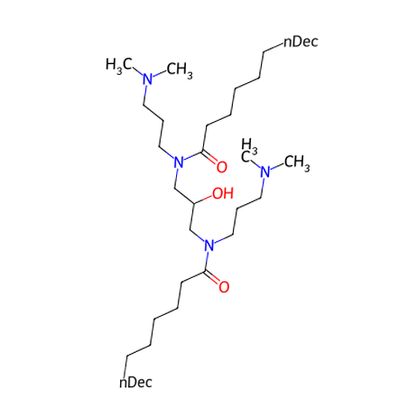 CCCCCCCCCCCCCCCC(=O)N(CCCN(C)C)CC(O)CN(CCCN(C)C)C(=O)CCCCCCCCCCCCCCC